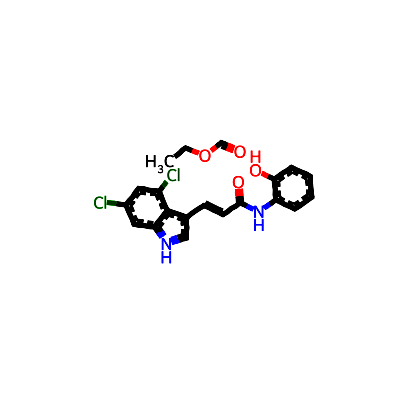 CCOC=O.O=C(C=Cc1c[nH]c2cc(Cl)cc(Cl)c12)Nc1ccccc1O